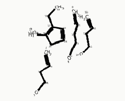 C=CCC[O-].C=CCC[O-].C=CCC[O-].CCC1=[C]([Hf+3])CC=C1